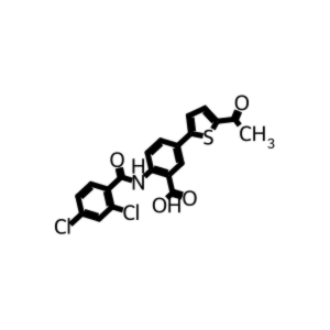 CC(=O)c1ccc(-c2ccc(NC(=O)c3ccc(Cl)cc3Cl)c(C(=O)O)c2)s1